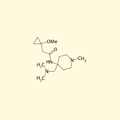 COC1(CC(=O)NC2(CN(C)C)CCN(C)CC2)CC1